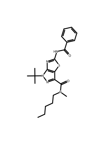 CCCCCN(C)C(=O)c1nn(C(C)(C)C)c2nc(NC(=O)c3ccccc3)sc12